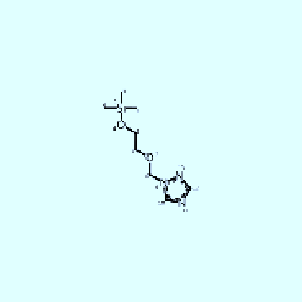 C[Si](C)(C)OCCOCn1cncn1